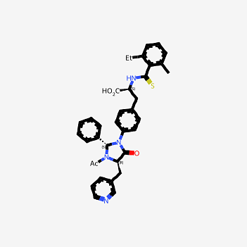 CCc1cccc(C)c1C(=S)N[C@@H](Cc1ccc(N2C(=O)[C@@H](Cc3cccnc3)N(C(C)=O)[C@@H]2c2ccccc2)cc1)C(=O)O